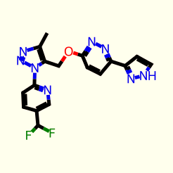 Cc1nnn(-c2ccc(C(F)F)cn2)c1COc1ccc(-c2cc[nH]n2)nn1